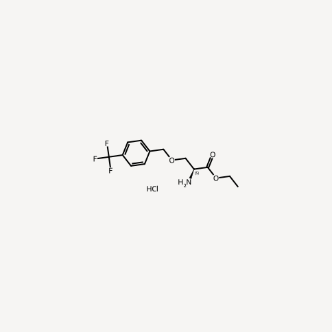 CCOC(=O)[C@@H](N)COCc1ccc(C(F)(F)F)cc1.Cl